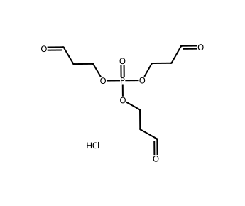 Cl.O=CCCOP(=O)(OCCC=O)OCCC=O